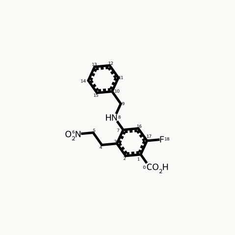 O=C(O)c1cc(CC[N+](=O)[O-])c(NCc2ccccc2)cc1F